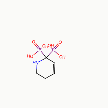 O=P(O)(O)C1(P(=O)(O)O)C=CCCN1